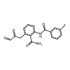 NC(=O)c1c(CC(=O)C=O)ccnc1NC(=O)c1cccc(F)c1